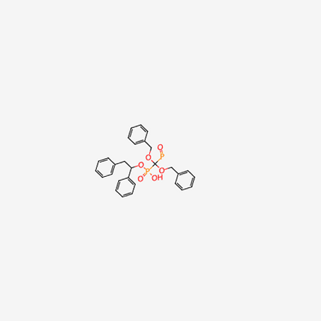 O=PC(OCc1ccccc1)(OCc1ccccc1)P(=O)(O)OC(Cc1ccccc1)c1ccccc1